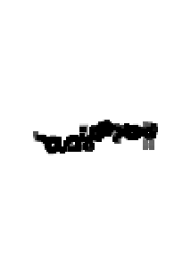 N#Cc1ccc(CN2CCC(NC(=O)c3cc4cc(NC(=O)c5ccc(-c6nnc[nH]6)cc5)ccc4o3)CC2)cc1